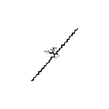 CCCCCCCCC=CCCCCCCCC(=O)C(C(=O)CCCCCCCC=CCCCCCCCC)C(CN)S(=O)(=O)O